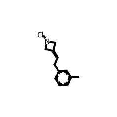 Cc1cccc(CC=C2CN(Cl)C2)c1